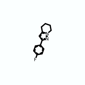 Fc1ccc(-c2cc3n(n2)CCCC3)cc1